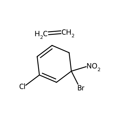 C=C.O=[N+]([O-])C1(Br)C=C(Cl)C=CC1